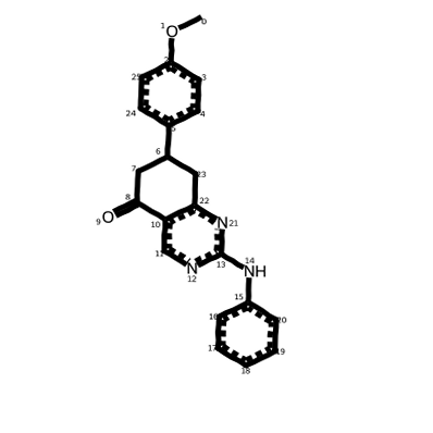 COc1ccc(C2CC(=O)c3cnc(Nc4ccccc4)nc3C2)cc1